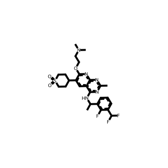 Cc1nc(NC(C)c2cccc(C(F)F)c2F)c2cc(C3CCS(=O)(=O)CC3)c(OCCN(C)C)nc2n1